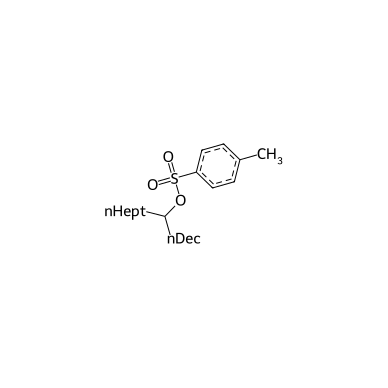 CCCCCCCCCCC(CCCCCCC)OS(=O)(=O)c1ccc(C)cc1